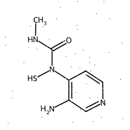 CNC(=O)N(S)c1ccncc1N